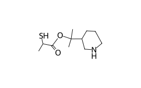 CC(S)C(=O)OC(C)(C)C1CCCNC1